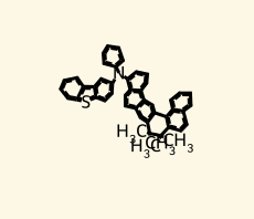 CC1(C)c2cc3ccc4c(N(c5ccccc5)c5ccc6sc7ccccc7c6c5)cccc4c3cc2-c2c(ccc3ccccc23)C1(C)C